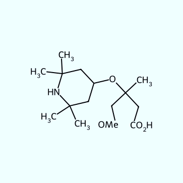 COCC(C)(CC(=O)O)OC1CC(C)(C)NC(C)(C)C1